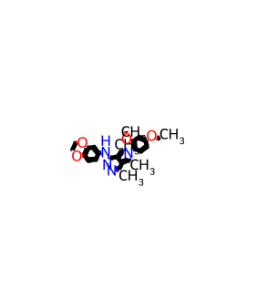 CCOc1ccc(-n2c(C)c3c(C)nnc(Nc4ccc5c(c4)OCCO5)c3c2C)c(OC)c1